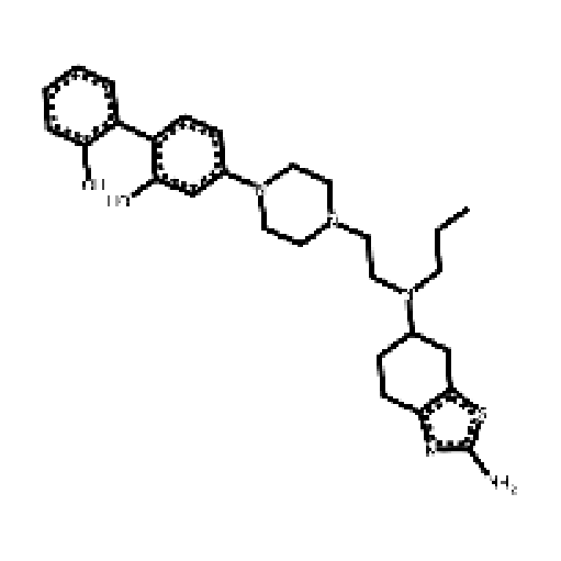 CCCN(CCN1CCN(c2ccc(-c3ccccc3O)c(O)c2)CC1)C1CCc2nc(N)sc2C1